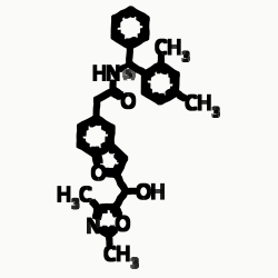 Cc1ccc([C@@H](NC(=O)Cc2ccc3oc(C(O)c4oc(C)nc4C)cc3c2)c2ccccc2)c(C)c1